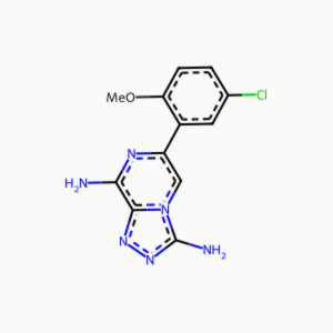 COc1ccc(Cl)cc1-c1cn2c(N)nnc2c(N)n1